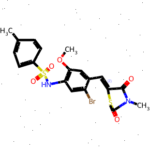 COc1cc(/C=C2\SC(=O)N(C)C2=O)c(Br)cc1NS(=O)(=O)c1ccc(C)cc1